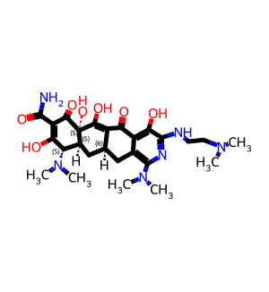 CN(C)CCNc1nc(N(C)C)c2c(c1O)C(=O)C1=C(O)[C@]3(O)C(=O)C(C(N)=O)=C(O)[C@@H](N(C)C)[C@@H]3C[C@@H]1C2